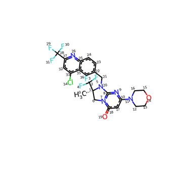 C[C@@]1(C(F)(F)F)Cn2c(nc(N3CCOCC3)cc2=O)N1Cc1ccc2nc(C(F)(F)F)cc(Cl)c2c1